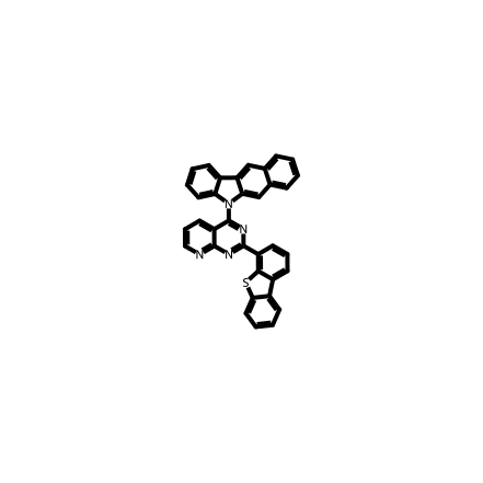 c1ccc2cc3c(cc2c1)c1ccccc1n3-c1nc(-c2cccc3c2sc2ccccc23)nc2ncccc12